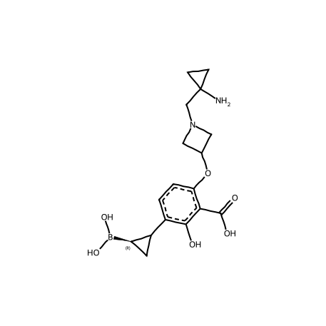 NC1(CN2CC(Oc3ccc(C4C[C@H]4B(O)O)c(O)c3C(=O)O)C2)CC1